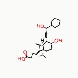 CC1C(=CCCC(=O)O)[C@]2(C(C)C)CC[C@H](O)[C@@H](C#CC(O)C3CCCCC3)[C@H]12